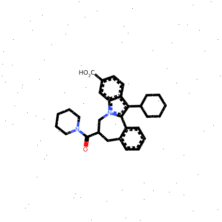 O=C(O)c1ccc2c(C3CCCCC3)c3n(c2c1)CC(C(=O)N1CCCCC1)Cc1ccccc1-3